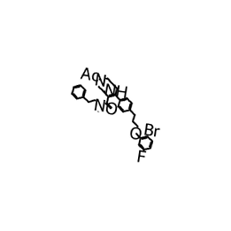 CC(=O)N1CC2CC(c3ccc(CCCOc4cc(F)ccc4Br)cc3)=C(C(=O)N(C)CCc3ccccc3)C(C1)N2